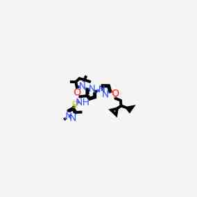 Cc1nn(C)cc1SNC(=O)c1ccc(-n2ccc(OCCC(C3CC3)C3CC3)n2)nc1N1CC(C)CC1(C)C